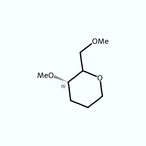 COCC1OCCC[C@@H]1OC